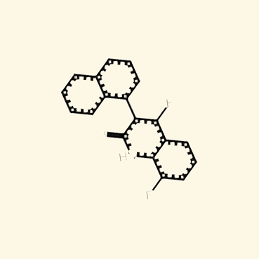 O=c1[nH]c2c(F)cccc2c(F)c1-c1cccc2ccccc12